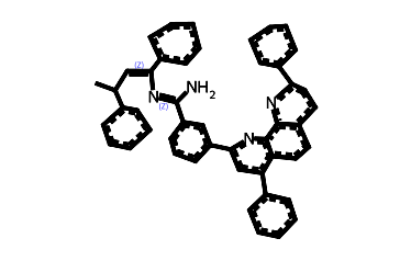 CC(/C=C(\N=C(/N)c1cccc(-c2cc(-c3ccccc3)c3ccc4ccc(-c5ccccc5)nc4c3n2)c1)c1ccccc1)c1ccccc1